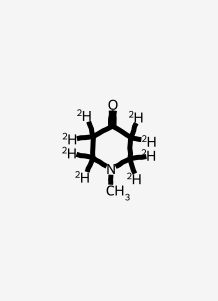 [2H]C1([2H])C(=O)C([2H])([2H])C([2H])([2H])N(C)C1([2H])[2H]